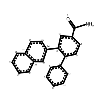 NC(=O)c1ccc(-c2ccccc2)c(-c2ccc3ccccc3c2)c1